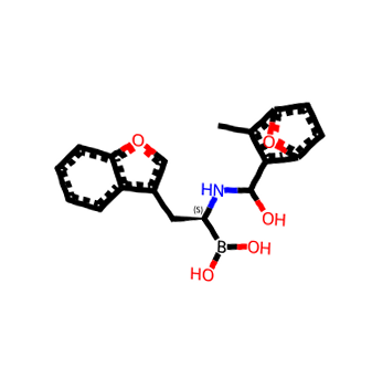 Cc1c(C(O)N[C@H](Cc2coc3ccccc23)B(O)O)c2ccc1o2